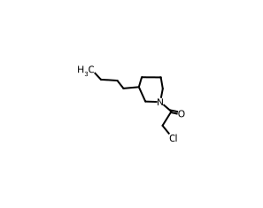 CCCCC1CCCN(C(=O)CCl)C1